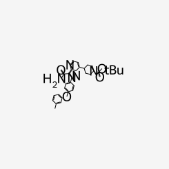 Cc1cccc(Oc2ccc(-n3nc4c(C5CCN(C(=O)OC(C)(C)C)CC5)ccnc4c3C(N)=O)cc2)c1